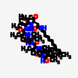 CCCCCCCCCCCCNC(=O)C[C@H](NC(=O)[C@@H](NC(=O)[C@@H](NC(=O)[C@@H](NC(=O)[C@@H](NC(=O)[C@@H](NC(=O)[C@@H](NC)C(C)C)C(C)C)C(C)C)C(C)C)C(C)C)C(C)C)C(C)=O